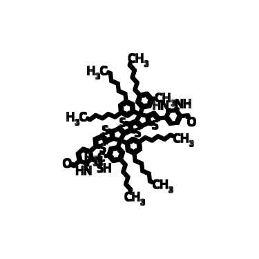 CCCCCCc1cc(C)cc(C2(c3cc(CCCCCC)cc(CCCCCC)c3)c3cc(C4=CC=C(C=O)C(=N)C4=N)sc3-c3sc4c5c(sc4c32)-c2sc3cc(C4=CC=C(C=O)C(=N)/C4=N\S)sc3c2C5(c2cc(C)cc(CCCCCC)c2)c2cc(CCCCCC)cc(CCCCCC)c2)c1